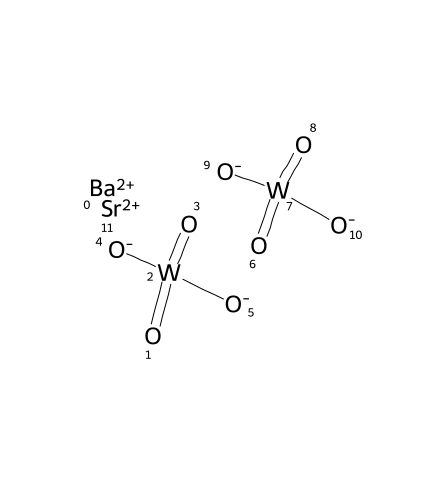 [Ba+2].[O]=[W](=[O])([O-])[O-].[O]=[W](=[O])([O-])[O-].[Sr+2]